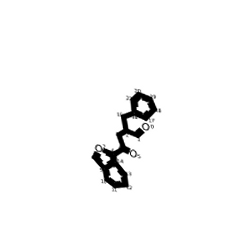 O=CC(CC(=O)c1occ2ccccc12)Cc1ccccc1